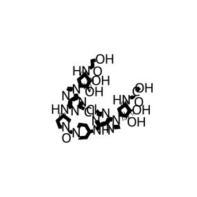 O=C(CO)N[C@H]1C[C@@H](n2cnc3c(NC4CCN(C(=O)N5CC[C@@H](Nc6nc(Cl)nc7c6ncn7[C@@H]6C[C@H](NC(=O)CO)[C@@H](O)[C@H]6O)C5)CC4)nc(Cl)nc32)[C@H](O)[C@@H]1O